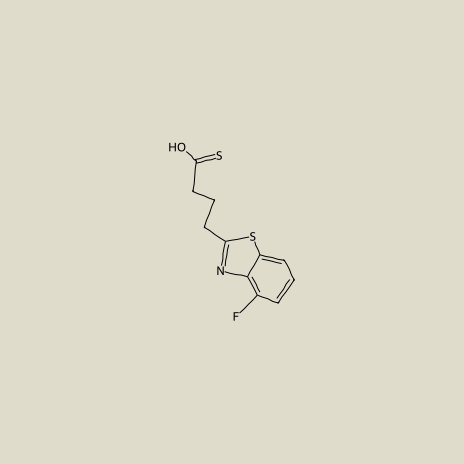 OC(=S)CCCc1nc2c(F)cccc2s1